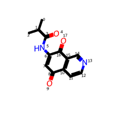 CC(C)C(=O)NC1=CC(=O)c2ccncc2C1=O